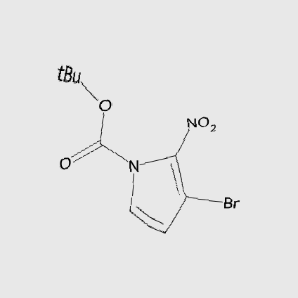 CC(C)(C)OC(=O)n1ccc(Br)c1[N+](=O)[O-]